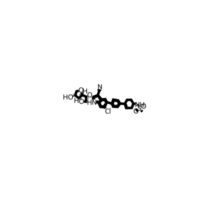 CS(=O)(=O)NC1CC=C(c2ccc(-c3cc4c(C#N)c(O[C@@H]5CO[C@H]6[C@@H]5OC[C@H]6O)[nH]c4cc3Cl)cc2)CC1